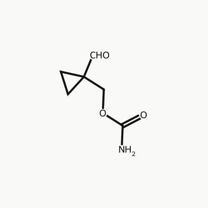 NC(=O)OCC1(C=O)CC1